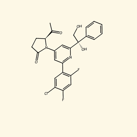 CC(=O)[C@@H]1CCC(=O)N1c1cc(-c2cc(Cl)c(F)cc2F)nc([C@@](O)(CO)c2ccccc2)c1